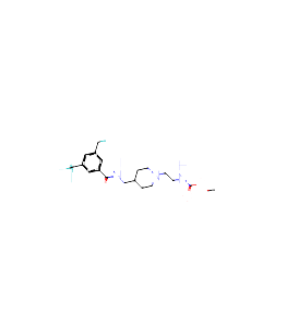 CCOC(=O)NCCN1CCC(CNC(=O)c2cc(CF)cc(C(F)(F)F)c2)CC1